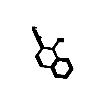 [N-]=[N+]=C1C=Cc2ccccc2C1O